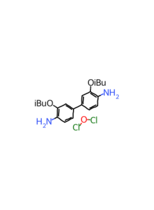 CC(C)COc1cc(-c2ccc(N)c(OCC(C)C)c2)ccc1N.ClOCl